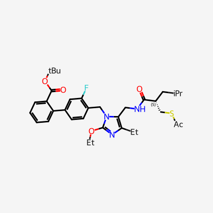 CCOc1nc(CC)c(CNC(=O)[C@@H](CSC(C)=O)CC(C)C)n1Cc1ccc(-c2ccccc2C(=O)OC(C)(C)C)cc1F